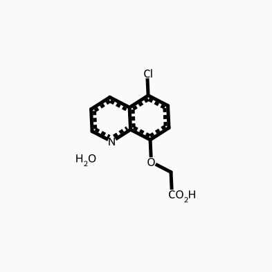 O.O=C(O)COc1ccc(Cl)c2cccnc12